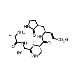 CCOC(=O)/C=C/[C@H](C[C@@H]1CCNC1=O)NC(=O)[C@H](CC(C)C)NC(=O)[C@@H](NC(=O)[C@H](C)N)C(C)C